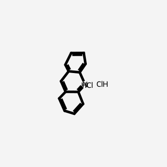 Cl.Cl.c1ccc2nc3ccccc3cc2c1